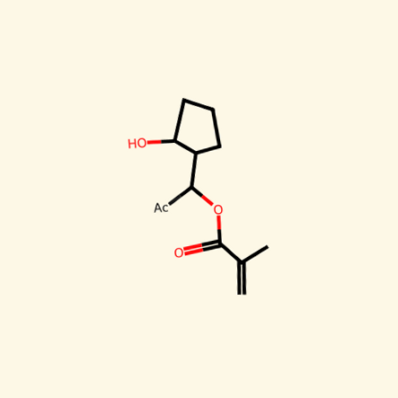 C=C(C)C(=O)OC(C(C)=O)C1CCCC1O